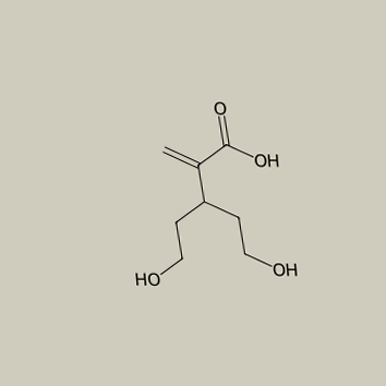 C=C(C(=O)O)C(CCO)CCO